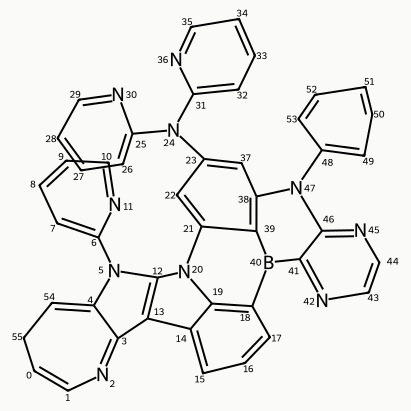 C1=CN=c2c(n(-c3ccccn3)c3c2c2cccc4c2n3-c2cc(N(c3ccccn3)c3ccccn3)cc3c2B4c2nccnc2N3c2ccccc2)=CC1